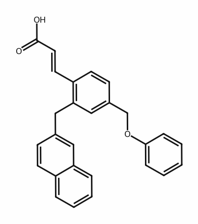 O=C(O)C=Cc1ccc(COc2ccccc2)cc1Cc1ccc2ccccc2c1